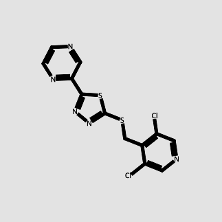 Clc1cncc(Cl)c1CSc1nnc(-c2cnccn2)s1